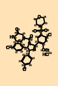 CCOc1cc(Cl)c(S(=O)(=O)N2CCOCC2)cc1C1=N[C@@H](c2ccc(Cl)cc2)[C@@H](c2ccc(Cl)cc2)N1C(=O)N1CCNC(=O)C1.Cl